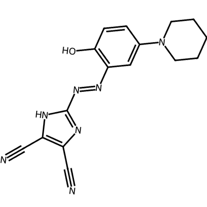 N#Cc1nc(/N=N/c2cc(N3CCCCC3)ccc2O)[nH]c1C#N